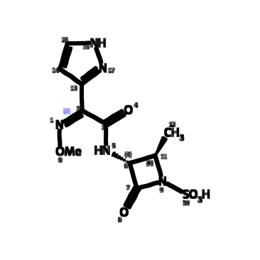 CO/N=C(\C(=O)N[C@H]1C(=O)N(S(=O)(=O)O)[C@@H]1C)c1cc[nH]n1